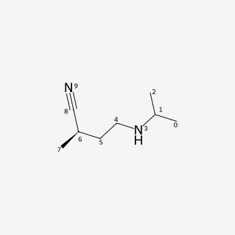 CC(C)NCC[C@@H](C)C#N